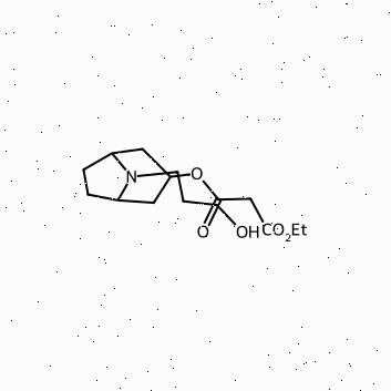 CCOC(=O)CC(=O)OC1CC2CCC(C1)N2CCCO